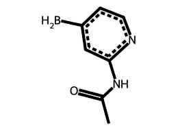 Bc1ccnc(NC(C)=O)c1